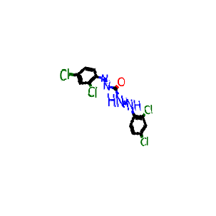 O=C(/N=N/c1ccc(Cl)cc1Cl)NNc1ccc(Cl)cc1Cl